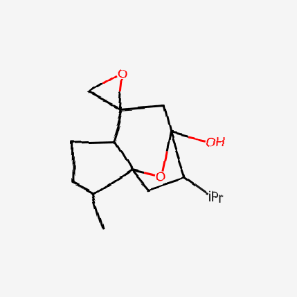 CC(C)C1CC23OC1(O)CC1(CO1)C2CCC3C